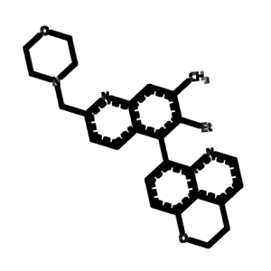 CCc1c(C)cc2nc(CN3CCOCC3)ccc2c1-c1ccc2c3c(ccnc13)CCO2